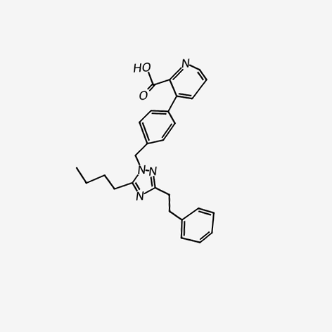 CCCCc1nc(CCc2ccccc2)nn1Cc1ccc(-c2cccnc2C(=O)O)cc1